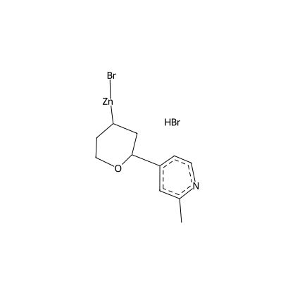 Br.Cc1cc(C2C[CH]([Zn][Br])CCO2)ccn1